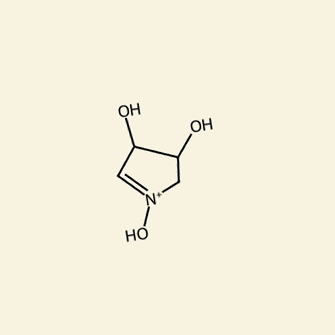 OC1C=[N+](O)CC1O